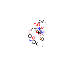 C=c1ccc2c(c1)Oc1cc(OC/C=C\C3=C(C(=O)OCOC(C)=O)N4C(=O)[C@@H](NC(=O)Cc5cccs5)[C@H]4[S@@+]([O-])C3)ccc1N=2